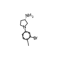 N[C@H]1CCN(c2ccc(I)c(Br)c2)C1